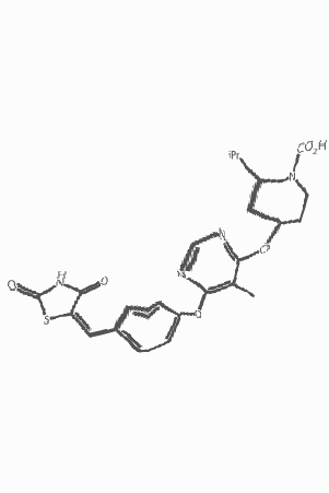 Cc1c(Oc2ccc(C=C3SC(=O)NC3=O)cc2)ncnc1OC1CCN(C(=O)O)C(C(C)C)C1